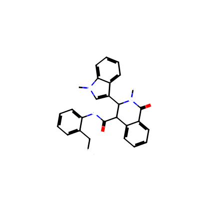 CCc1ccccc1NC(=O)C1c2ccccc2C(=O)N(C)C1c1cn(C)c2ccccc12